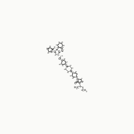 CC[C@@H](C)n1ncn(-c2ccc(N3CCN(c4ccc(OC[C@@H]5CO[C@@](Cn6cncn6)(c6cccc[n+]6[O-])O5)cc4)CC3)cc2)c1=O